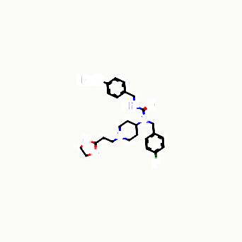 CC(C)COc1ccc(CNC(=O)N(Cc2ccc(F)cc2)C2CCN(CCC3OCCO3)CC2)cc1